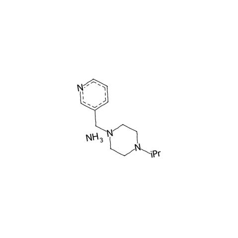 CC(C)N1CCN(Cc2cccnc2)CC1.N